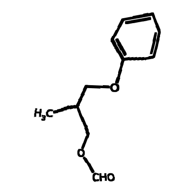 CC(COC=O)COc1ccccc1